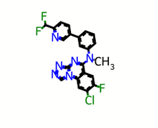 CN(c1cccc(-c2ccc(C(F)F)nc2)c1)c1nc2nncn2c2cc(Cl)c(F)cc12